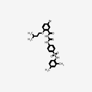 Cc1ccc(NS(=O)(=O)c2ccc(NC(=S)NC(=O)c3cc(Br)ccc3OCCC(C)C)cc2)c(C)c1